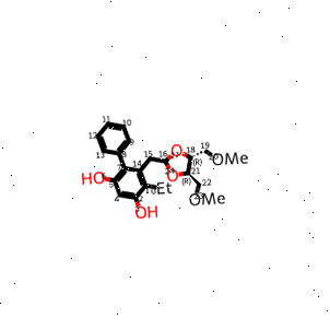 CCc1c(O)cc(O)c(-c2ccccc2)c1CC1O[C@H](COC)[C@@H](COC)O1